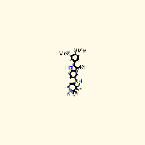 COc1ccc(-c2[nH]c3ccc(NC4CCN(C)C(C)(C)C4(C)C)cc3c2C(C)C)cc1OC